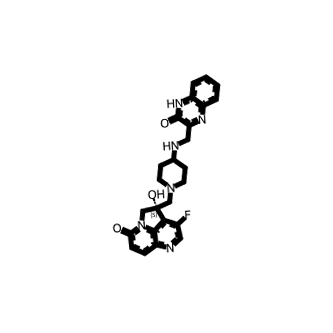 O=c1[nH]c2ccccc2nc1CNC1CCN(C[C@]2(O)Cn3c(=O)ccc4ncc(F)c2c43)CC1